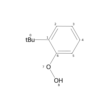 CC(C)(C)c1ccccc1OO